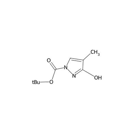 Cc1cn(C(=O)OC(C)(C)C)nc1O